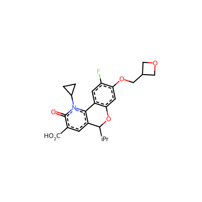 CC(C)C1Oc2cc(OCC3COC3)c(F)cc2-c2c1cc(C(=O)O)c(=O)n2C1CC1